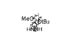 COc1cccc(OC(C)(C)C)c1-c1ccc2c(c1)NCN2